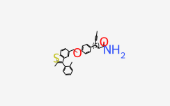 CC#C[C@@H](CC(N)=O)c1ccc(OCc2ccc3sc(C)c(-c4ccccc4C)c3c2)cc1